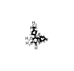 C=C1C(c2ccc(C(C)(F)F)cc2)[C@@](C)(c2c(F)cc(F)cc2F)NC(=N)N1C